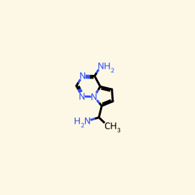 CC(N)c1ccc2c(N)ncnn12